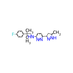 C=C1CC(c2ccc(NCC(C)(C)c3ccc(F)cc3)nn2)=NN1